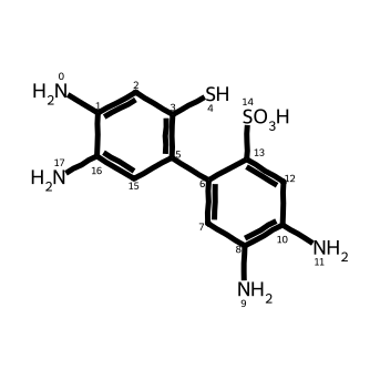 Nc1cc(S)c(-c2cc(N)c(N)cc2S(=O)(=O)O)cc1N